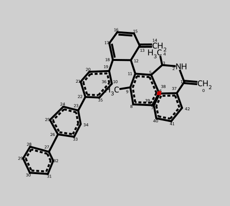 C=C(NC(C)c1cccc(C)c1C1C(=C)C=CC=C1c1ccc(-c2ccc(-c3ccccc3)cc2)cc1)c1ccccc1